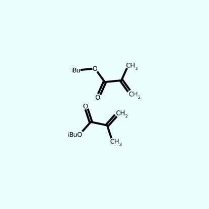 C=C(C)C(=O)OC(C)CC.C=C(C)C(=O)OCC(C)C